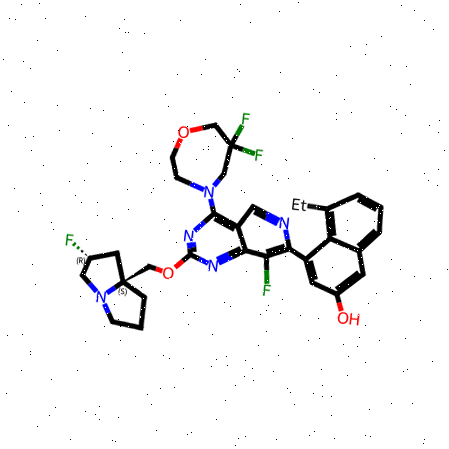 CCc1cccc2cc(O)cc(-c3ncc4c(N5CCOCC(F)(F)C5)nc(OC[C@@]56CCCN5C[C@H](F)C6)nc4c3F)c12